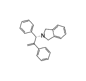 C=C(c1ccccc1)[C@H](c1ccccc1)N1Cc2ccccc2C1